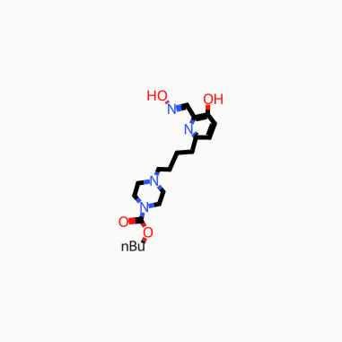 CCCCOC(=O)N1CCN(CCCCc2ccc(O)c(C=NO)n2)CC1